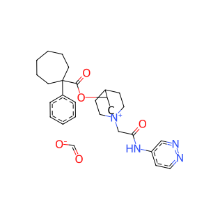 O=C(C[N+]12CCC(CC1)C(OC(=O)C1(c3ccccc3)CCCCCC1)C2)Nc1ccnnc1.O=C[O-]